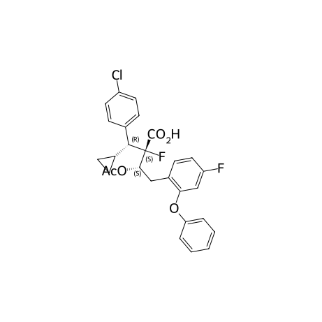 CC(=O)O[C@@H](Cc1ccc(F)cc1Oc1ccccc1)[C@](F)(C(=O)O)[C@@H](c1ccc(Cl)cc1)C1CC1